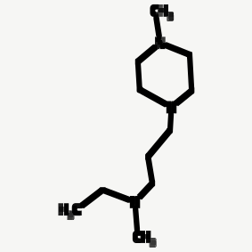 CCN(C)CCCN1CCN(C)CC1